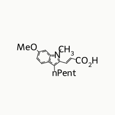 CCCCCc1c(C=CC(=O)O)n(C)c2cc(OC)ccc12